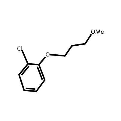 COCCCOc1ccccc1Cl